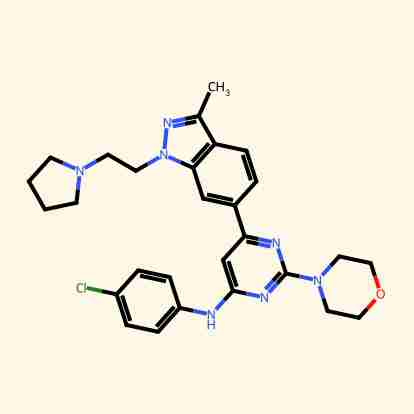 Cc1nn(CCN2CCCC2)c2cc(-c3cc(Nc4ccc(Cl)cc4)nc(N4CCOCC4)n3)ccc12